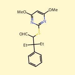 CCC(CC)(c1ccccc1)C(C=O)Sc1nc(OC)cc(OC)n1